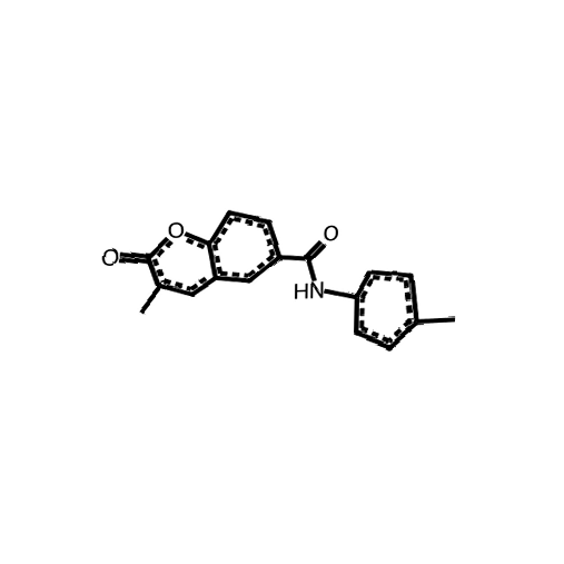 Cc1ccc(NC(=O)c2ccc3oc(=O)c(C)cc3c2)cc1